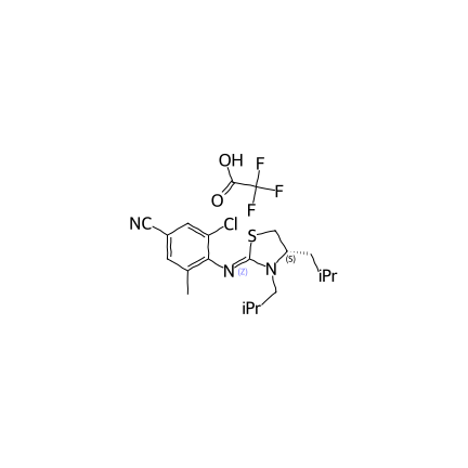 Cc1cc(C#N)cc(Cl)c1/N=C1\SC[C@H](CC(C)C)N1CC(C)C.O=C(O)C(F)(F)F